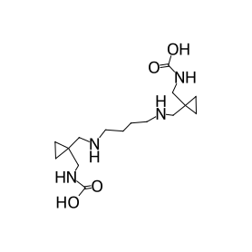 O=C(O)NCC1(CNCCCCNCC2(CNC(=O)O)CC2)CC1